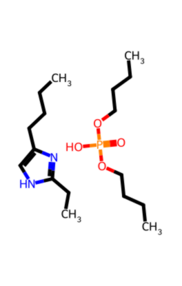 CCCCOP(=O)(O)OCCCC.CCCCc1c[nH]c(CC)n1